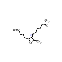 C=C1OC(CCCCCCCCCCCCC)/C1=C/CCCCC(N)=O